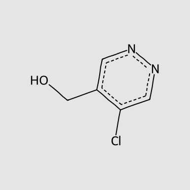 OCc1cnncc1Cl